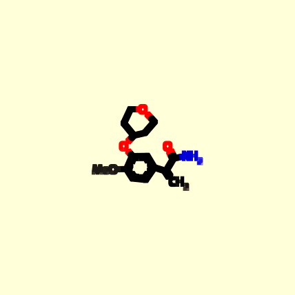 C=C(C(N)=O)c1ccc(OC)c(OC2CCOCC2)c1